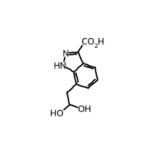 O=C(O)c1n[nH]c2c(CC(O)O)cccc12